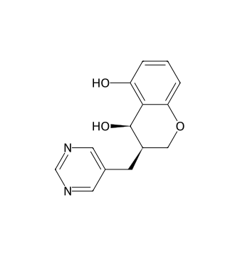 Oc1cccc2c1[C@H](O)[C@H](Cc1cncnc1)CO2